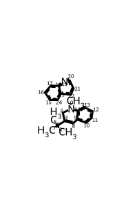 CN1CC(C(C)(C)C)=Cc2ccccc21.c1ccc2ncccc2c1